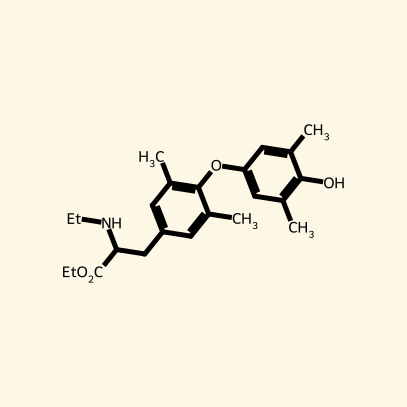 CCNC(Cc1cc(C)c(Oc2cc(C)c(O)c(C)c2)c(C)c1)C(=O)OCC